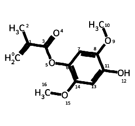 C=C(C)C(=O)Oc1cc(OC)c(O)cc1OC